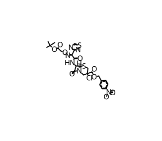 CC(C)(C)OC(=O)CON=C(C(=O)NC1C(=O)N2CC(Cl)(C(=O)OCc3ccc([N+](=O)[O-])cc3)CS[C@H]12)c1ncsn1